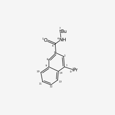 CC(C)c1cc(C(=O)NC(C)(C)C)cc2ccccc12